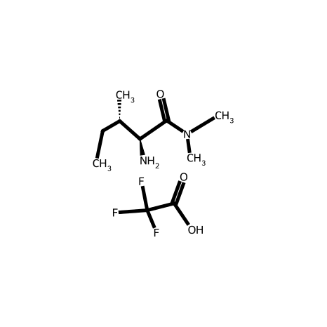 CC[C@H](C)[C@H](N)C(=O)N(C)C.O=C(O)C(F)(F)F